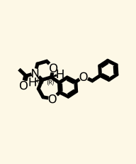 CC(=O)N1CCO[C@@H]2c3cc(OCc4ccccc4)ccc3OCC[C@H]21